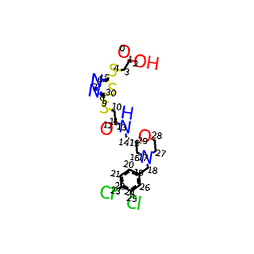 O=C(O)CSc1nnc(SCC(=O)NC[C@H]2CN(Cc3ccc(Cl)c(Cl)c3)CCO2)s1